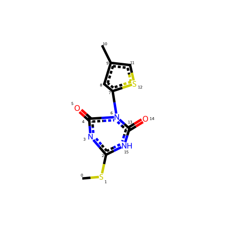 CSc1nc(=O)n(-c2cc(C)cs2)c(=O)[nH]1